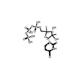 CC1(O)[C@@H](O)[C@@](F)(COP(=O)(O)OP(=O)(O)OP(=O)(O)O)O[C@H]1n1ccc(=O)[nH]c1=S